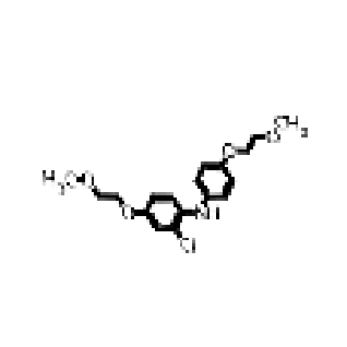 COCCOc1ccc(Nc2ccc(OCCOC)cc2Cl)cc1